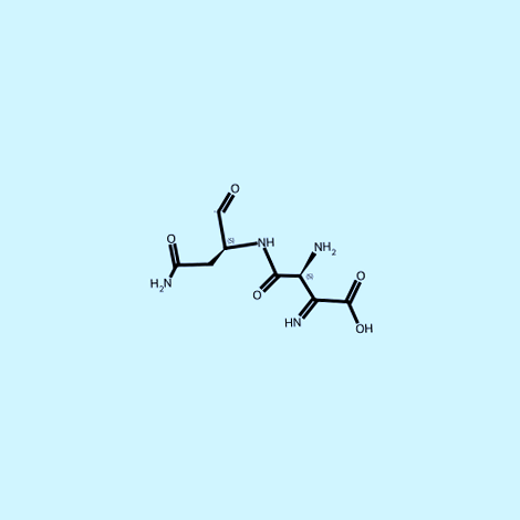 N=C(C(=O)O)[C@H](N)C(=O)N[C@H]([C]=O)CC(N)=O